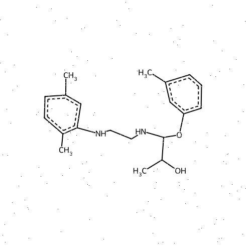 Cc1cccc(OC(NCCNc2cc(C)ccc2C)C(C)O)c1